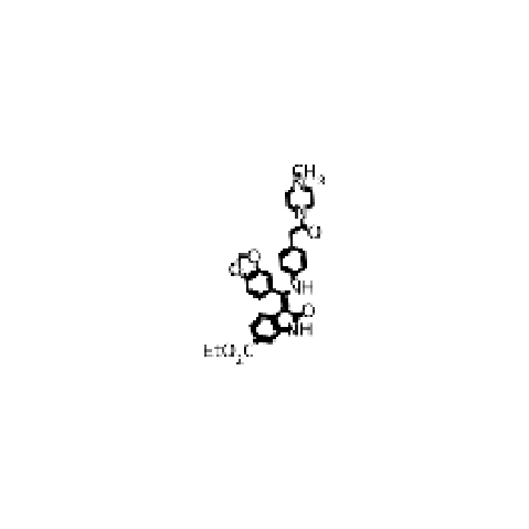 CCOC(=O)c1ccc2c(c1)NC(=O)/C2=C(\Nc1ccc(CC(=O)N2CCN(C)CC2)cc1)c1ccc2c(c1)OCO2